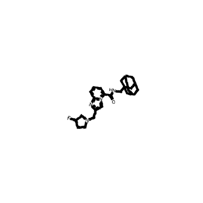 O=C(NCC12CC3CC(CC(C3)C1)C2)c1cccc2nc(CN3CCC(F)C3)cn12